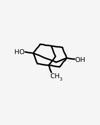 CC12C[C]3CC(O)(C1)CC(O)(C3)C2